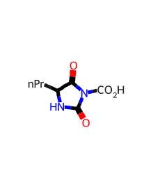 [CH2]CCC1NC(=O)N(C(=O)O)C1=O